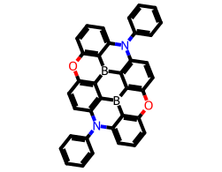 c1ccc(N2c3cccc4c3B3c5c(ccc6c5B5c7c(cccc7N6c6ccccc6)Oc6ccc2c3c65)O4)cc1